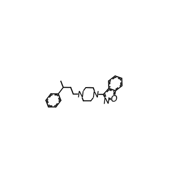 CC(CCN1CCN(c2noc3ccccc23)CC1)c1ccccc1